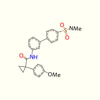 CNS(=O)(=O)c1ccc(-c2cccc(NC(=O)C3(c4ccc(OC)cc4)CC3)c2)cc1